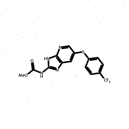 COC(=O)Nc1nc2cc(Sc3ccc(C(F)(F)F)cc3)cnc2[nH]1